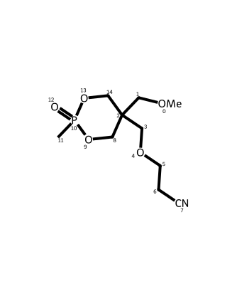 COCC1(COCCC#N)COP(C)(=O)OC1